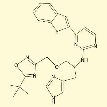 CC(C)(C)c1nc(COCC(Cc2c[nH]cn2)Nc2nccc(-c3cc4ccccc4s3)n2)no1